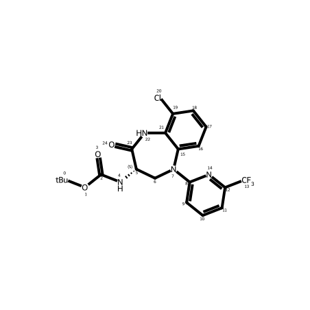 CC(C)(C)OC(=O)N[C@H]1CN(c2cccc(C(F)(F)F)n2)c2cccc(Cl)c2NC1=O